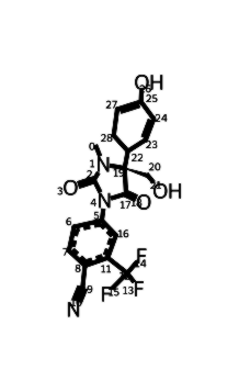 CN1C(=O)N(c2ccc(C#N)c(C(F)(F)F)c2)C(=O)[C@@]1(CO)C1C=CC(O)=CC1